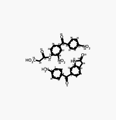 Nc1ccc(C(=O)c2ccc3c(c2)NC(=O)C3)cc1.O=C(O)CC(=O)Oc1ccc(C(=O)c2ccc([N+](=O)[O-])cc2)cc1[N+](=O)[O-]